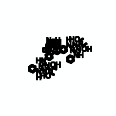 CC(O)N(c1nc(Nc2ccccc2)nc(Nc2ccc(C=Cc3ccc(Nc4nc(Nc5ccccc5)nc(N(C(C)O)C(C)O)n4)cc3S(=O)(=O)O)c(S(=O)(=O)O)c2)n1)C(C)O.[NaH].[NaH]